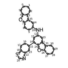 c1ccc2c(c1)oc1ccc(Nc3cc(-c4ccc5scnc5c4)c4oc5ccccc5c4c3)cc12